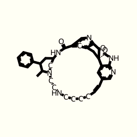 CC1C(c2ccccc2)CC2CN1CCNCCCC/C=C\c1cnc3c(c1)[C@]1(Cc4cc(cnc4C1=O)C(=O)N2)C(=O)N3